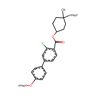 CCCCCCCOc1ccc(-c2ccc(C(=O)OC3CCC(C#N)(CCCCCCC)CC3)c(F)c2)cc1